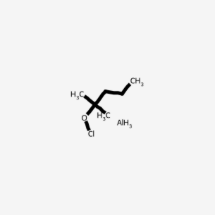 CCCC(C)(C)OCl.[AlH3]